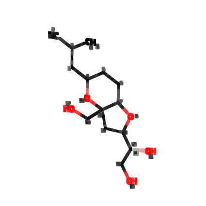 CC(C#N)CC1CCC2OC([C@H](O)CO)CC2(CO)O1